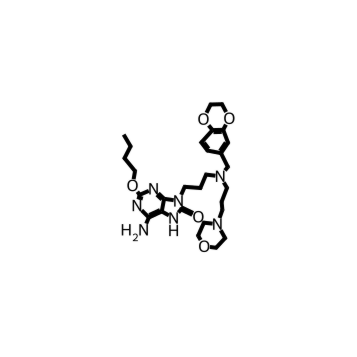 CCCCOc1nc(N)c2[nH]c(=O)n(CCCN(CCCN3CCOCC3)Cc3ccc4c(c3)OCCO4)c2n1